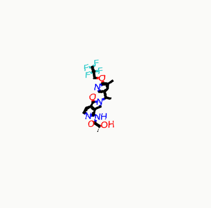 Cc1cc(C(C)N2Cc3c(ccnc3NC(=O)[C@@H](C)O)C2=O)cnc1OCC(F)(F)C(F)F